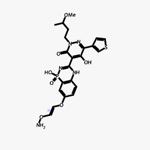 COC(C)CCn1nc(-c2ccsc2)c(O)c(C2=NP(=O)(O)c3cc(O/C=C/ON)ccc3N2)c1=O